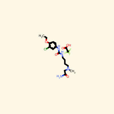 CCOc1ccc(NC(=O)NCCCCN(C)CC(N)=O)cc1Cl.O=C(O)C(F)(F)F